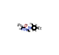 CCc1ccc(/N=C(\C)NC(=O)C(C)C(C)C)c(C)c1